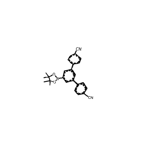 CC1(C)OB(c2cc(-c3ccc(C#N)cc3)cc(-c3ccc(C#N)cc3)c2)OC1(C)C